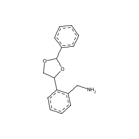 NCc1ccccc1C1COC(c2ccccc2)O1